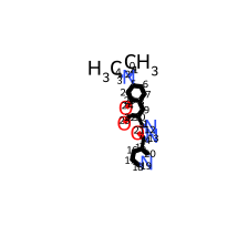 CCN(CC)c1ccc2cc(-c3nnc(-c4cccnc4)o3)c(=O)oc2c1